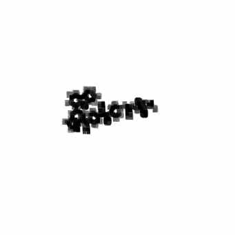 CS(=O)(=O)CCNCc1ccc(C(=O)Nc2ccc(Nc3nc(-c4cccc5c4oc4ccccc45)cc4ccnn34)cc2)cc1